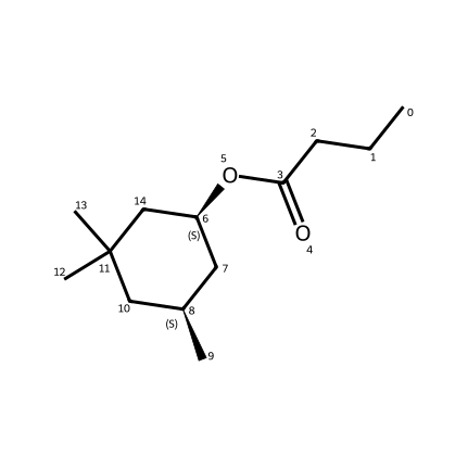 CCCC(=O)O[C@H]1C[C@@H](C)CC(C)(C)C1